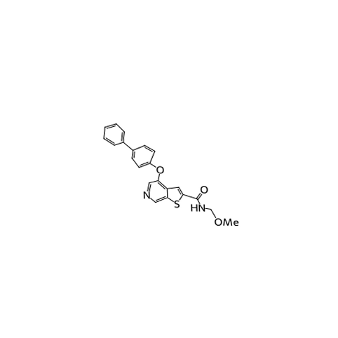 COCNC(=O)c1cc2c(Oc3ccc(-c4ccccc4)cc3)cncc2s1